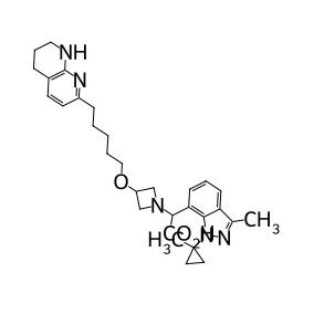 Cc1nn(C2(C)CC2)c2c(C(C(=O)O)N3CC(OCCCCCc4ccc5c(n4)NCCC5)C3)cccc12